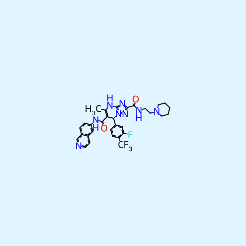 CC1=C(C(=O)Nc2ccc3cnccc3c2)C(c2ccc(C(F)(F)F)c(F)c2)n2nc(C(=O)NCCN3CCCCC3)nc2N1